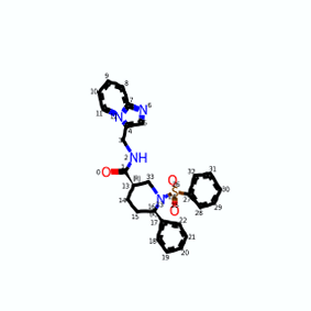 O=C(NCc1cnc2ccccn12)[C@@H]1CC[C@H](c2ccccc2)N(S(=O)(=O)c2ccccc2)C1